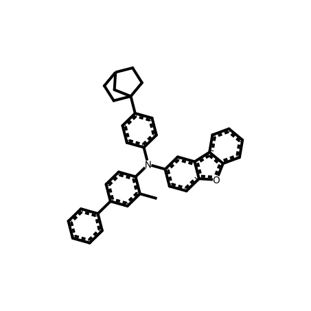 Cc1cc(-c2ccccc2)ccc1N(c1ccc(C23CCC(CC2)C3)cc1)c1ccc2oc3ccccc3c2c1